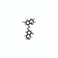 Cc1cc(CCc2cc(C)c3cnccc3c2)c2ncccc2c1